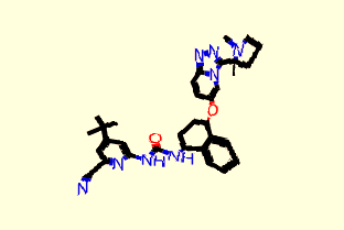 CN1CCC[C@]1(C)c1nnc2ccc(O[C@@H]3CC[C@H](NC(=O)Nc4cc(C(C)(C)C)cc(C#N)n4)c4ccccc43)cn12